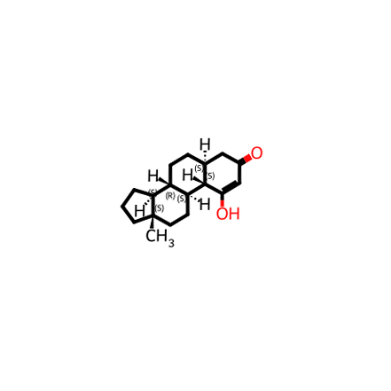 C[C@@]12CCC[C@H]1[C@@H]1CC[C@H]3CC(=O)C=C(O)[C@@H]3[C@H]1CC2